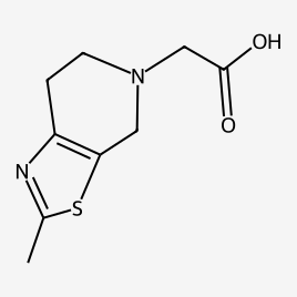 Cc1nc2c(s1)CN(CC(=O)O)CC2